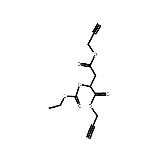 C#CCOC(=O)CC(OC(=O)OCC)C(=O)OCC#C